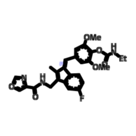 CCNC(=O)Oc1c(OC)cc(/C=C2/C(C)=C(CNC(=O)c3cocn3)c3cc(F)ccc32)cc1OC